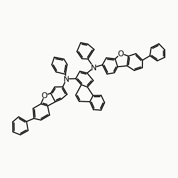 c1ccc(-c2ccc3c(c2)oc2cc(N(c4ccccc4)c4cc(N(c5ccccc5)c5ccc6c(c5)oc5cc(-c7ccccc7)ccc56)c5ccc6ccccc6c5c4)ccc23)cc1